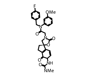 CNC(=O)NC1C=CC2=C(CC[C@]23CN(CC(=O)N(Cc2ccc(F)cc2)c2cccc(OC)c2)C(=O)O3)C1=O